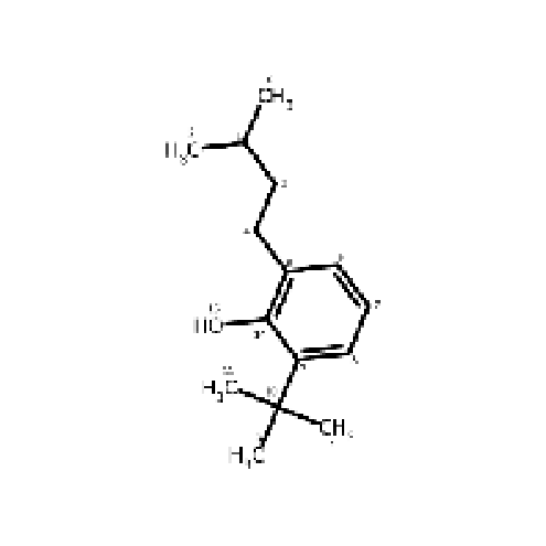 CC(C)CCc1cccc(C(C)(C)C)c1O